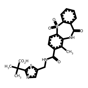 Cc1c(C(=O)NCc2cnc(C(C)(C)C(=O)O)s2)ccc2c1NC(=O)c1ccccc1S2(=O)=O